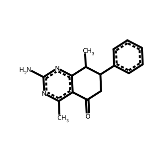 Cc1nc(N)nc2c1C(=O)CC(c1ccccc1)C2C